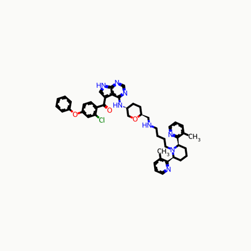 Cc1cccnc1[C@H]1CCC[C@@H](c2ncccc2C)N1CCCCNC[C@@H]1CC[C@@H](Nc2ncnc3[nH]cc(C(=O)c4ccc(Oc5ccccc5)cc4Cl)c23)CO1